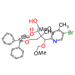 COCOC(c1ncc(Br)c(C)c1OC)C(C)(CCO[Si](c1ccccc1)(c1ccccc1)C(C)(C)C)C(O)CO